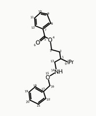 CC(C)C(CCOC(=O)c1ccccc1)CNOCc1ccccc1